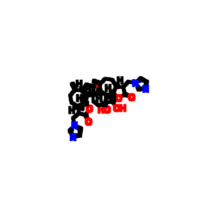 C=C1CC[C@H]2C(Cn3ccnc3)C(=O)O[C@@H]2[C@@H]2[C@H]1CC(=O)[C@]21CC[C@@](O)(CO)[C@@H]2[C@H]3OC(=O)C(Cn4ccnc4)[C@@H]3CCC(=C)[C@@H]21